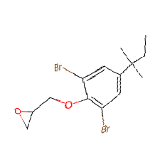 CCC(C)(C)c1cc(Br)c(OCC2CO2)c(Br)c1